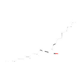 CCCCCCCCCCCCCCCC/C=C/C1C(=O)OC1=C=CCCCCCCCCCCCCCCCCC